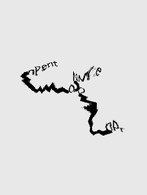 CCC/C=C\C/C=C\CCCCCCCCOC(CCNC)COCCCCCCCC/C=C\C/C=C\CCCCC